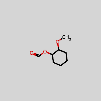 COC1CCCCC1OC=O